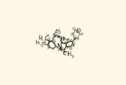 Cc1cccc([C@@H](C)Nc2nnc(C)c3cnc(N4CCOCC4)cc23)c1C